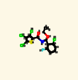 CCO/C(=N\C(=O)c1sc(Cl)c(Cl)c1Cl)c1c(F)cccc1Cl